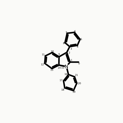 Cc1c(-c2ccccc2)c2ccccc2n1-c1ccccc1